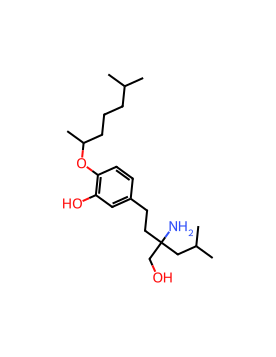 CC(C)CCCC(C)Oc1ccc(CCC(N)(CO)CC(C)C)cc1O